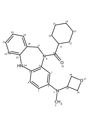 CN(c1ccc2c(c1)N(C(=O)C1CCCCC1)Cc1cccnc1N2)C1COC1